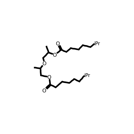 CC(C)CCCCCC(=O)OCC(C)OCC(C)OC(=O)CCCCCC(C)C